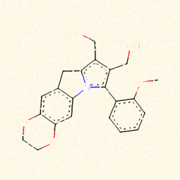 COc1ccccc1-c1c(CO)c(CO)c2n1-c1cc3c(cc1C2)OCCO3